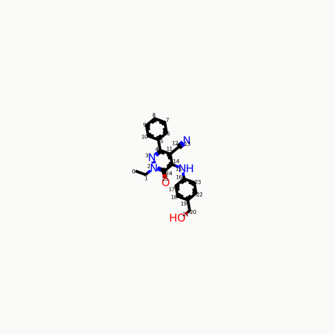 CCn1nc(-c2ccccc2)c(C#N)c(Nc2ccc(CO)cc2)c1=O